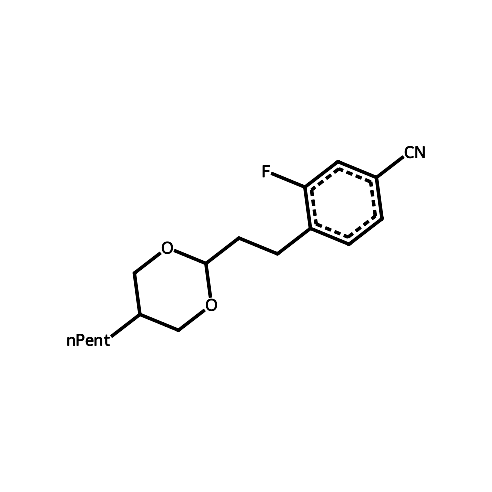 CCCCCC1COC(CCc2ccc(C#N)cc2F)OC1